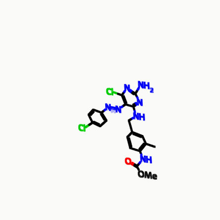 COC(=O)Nc1ccc(CNc2nc(N)nc(Cl)c2/N=N/c2ccc(Cl)cc2)cc1C